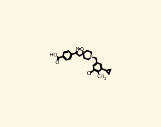 Cc1c(Cl)cc(CN2CCC3(CC2)CC(c2ccc(C(=O)O)cc2)=NO3)cc1C1CC1